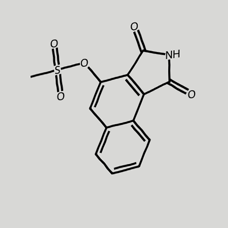 CS(=O)(=O)Oc1cc2ccccc2c2c1C(=O)NC2=O